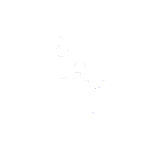 CCN(CC)CCNC1=NC(=O)S/C1=C\c1cccc(Oc2ccc(C#N)cc2C(F)(F)F)c1OC